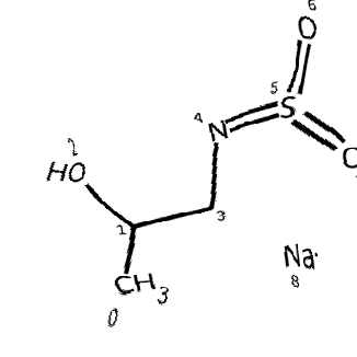 CC(O)CN=S(=O)=O.[Na]